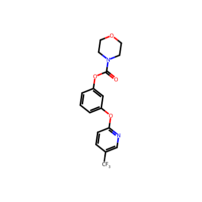 O=C(Oc1cccc(Oc2ccc(C(F)(F)F)cn2)c1)N1CCOCC1